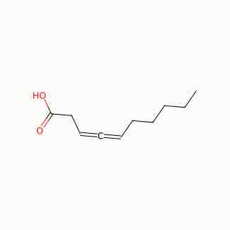 CCCCCC=C=CCC(=O)O